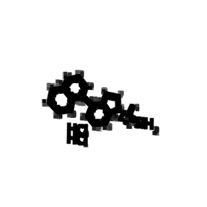 Cl.Cl.[CH3][Zr]([CH3])(=[SiH2])[CH]1C=Cc2c(-c3cccc4ccccc34)cccc21